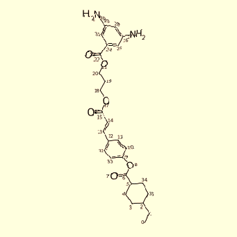 CCC1CCC(C(=O)Oc2ccc(C=CC(=O)OCCCOC(=O)c3cc(N)cc(N)c3)cc2)CC1